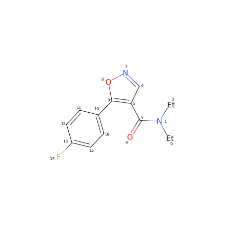 CCN(CC)C(=O)c1cnoc1-c1ccc(F)cc1